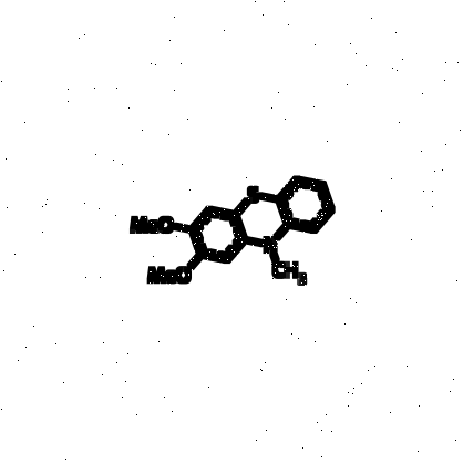 COc1cc2c(cc1OC)N(C)c1ccccc1S2